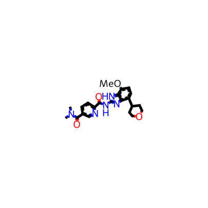 COc1ccc(C2CCOCC2)c2nc(NC(=O)c3ccc(C(=O)N(C)C)cn3)[nH]c12